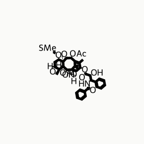 CSCO[C@H]1C[C@H]2OC[C@@]2(OC(C)=O)[C@H]2[C@H](O)[C@]3(O)C[C@H](OC(=O)[C@H](O)[C@@H](NC(=O)c4ccccc4)c4ccccc4)C(C)=C([C@@H](OC(C)=O)C(=O)[C@]12C)C3(C)C